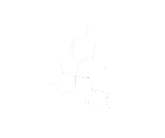 CC1NCOC1(Cn1cncn1)c1ccc(Cl)cc1Cl